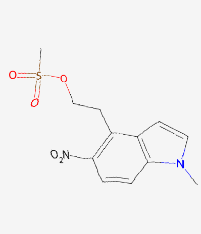 Cn1ccc2c(CCOS(C)(=O)=O)c([N+](=O)[O-])ccc21